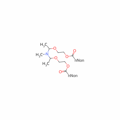 CCCCCCCCCC(=O)OCCOC(C)N(C)C(C)OCCOC(=O)CCCCCCCCC